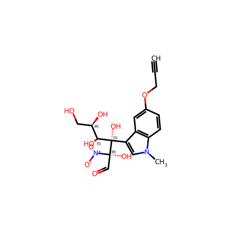 C#CCOc1ccc2c(c1)c([C@](O)([C@@H](O)[C@H](O)CO)[C@@](O)(C=O)[N+](=O)[O-])cn2C